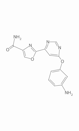 NC(=O)c1coc(-c2cc(Oc3cccc(N)c3)ncn2)n1